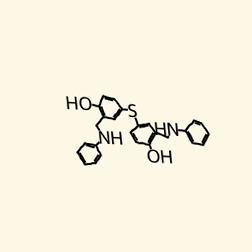 Oc1ccc(Sc2ccc(O)c(CNc3ccccc3)c2)cc1CNc1ccccc1